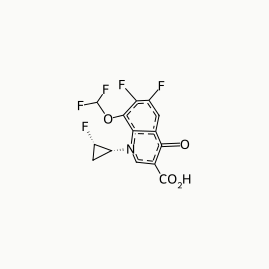 O=C(O)c1cn([C@@H]2C[C@@H]2F)c2c(OC(F)F)c(F)c(F)cc2c1=O